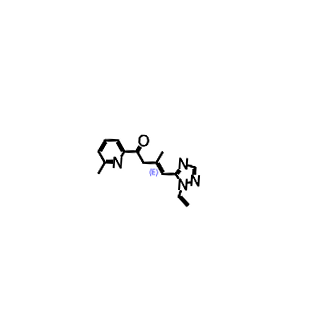 C=Cn1ncnc1/C=C(\C)CC(=O)c1cccc(C)n1